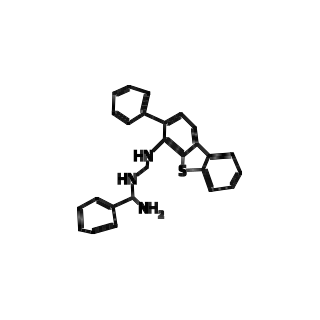 NC(NCNc1c(-c2ccccc2)ccc2c1sc1ccccc12)c1ccccc1